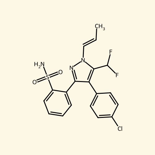 CC=Cn1nc(-c2ccccc2S(N)(=O)=O)c(-c2ccc(Cl)cc2)c1C(F)F